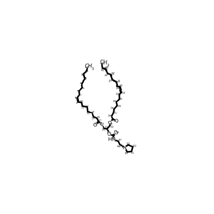 CCCCCCCC/C=C\CCCCCCCC(=O)OCC(COC(=O)CCCCCCC/C=C\CCCCCCCC)OC(=O)NCCN1CCCC1